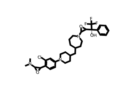 CN(C)C1OC1c1ccc(N2CCC(CC3CCCN(C4OC4[C@](O)(c4ccccc4)C(F)(F)F)CC3)CC2)cc1Cl